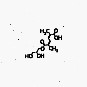 CC(=CC=C(C)C(=O)OCC(O)CO)C(=O)O